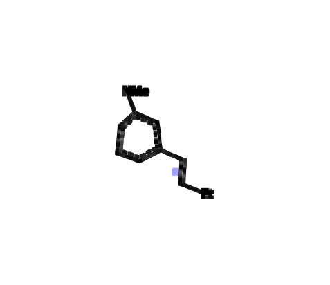 CC/C=C/c1cccc(NC)c1